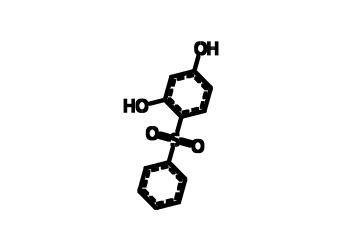 O=S(=O)(c1ccccc1)c1ccc(O)cc1O